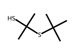 CC(C)(C)SC(C)(C)S